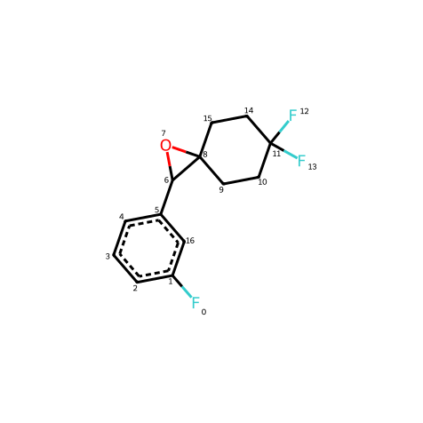 Fc1cccc(C2OC23CCC(F)(F)CC3)c1